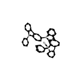 O=P1(c2ccccc2)c2ccccc2-c2ccc3c4ccccc4n(-c4ccc5c(c4)c4ccccc4n5-c4ccccc4)c3c21